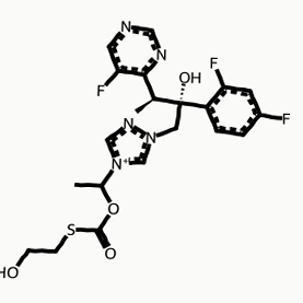 CC(OC(=O)SCCO)[n+]1cnn(C[C@](O)(c2ccc(F)cc2F)[C@@H](C)c2ncncc2F)c1